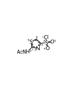 CC(=O)Nc1nc(S(=O)(=O)Cl)cs1